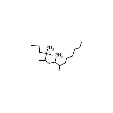 CCCCCCC(C)C(P)CC(C)C(C)(P)CCC